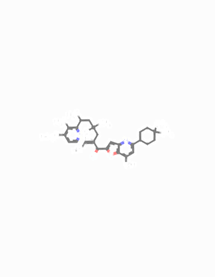 CCC/C=C(/CC(C)(C)CC(C)c1nccc(C(=O)O)c1C)C(=O)c1cc2nc(C3CCC(C)(C)CC3)cc(C(C)(C)C)c2o1